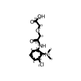 CN(C)c1c(Cl)cccc1NC(=O)COCC(=O)O